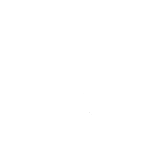 O=CC(F)(F)c1csc2ccccc12